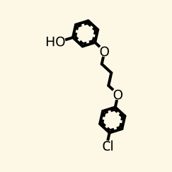 Oc1cccc(OCCCOc2ccc(Cl)cc2)c1